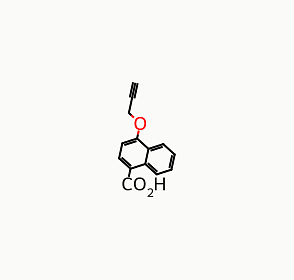 C#CCOc1ccc(C(=O)O)c2ccccc12